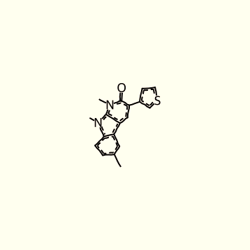 Cc1ccc2c(c1)c1cc(-c3ccsc3)c(=O)n(C)c1n2C